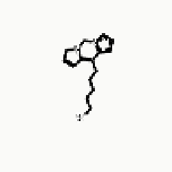 BrCCCCCC1=C2C=CCN2Cn2cccc21